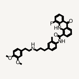 COc1ccc(CCNCCCc2ccc(NC(=O)c3cccc4c(=O)c5cccc(F)c5[nH]c34)c(C)c2)cc1OC